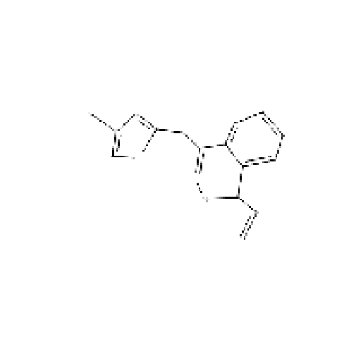 Nc1csc(CC2=NNC(C=O)c3ccccc32)c1